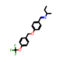 CCC(C)/N=C/c1ccc(OCc2ccc(OC(F)(F)F)cc2)cc1